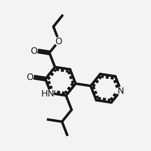 CCOC(=O)c1cc(-c2ccncc2)c(CC(C)C)[nH]c1=O